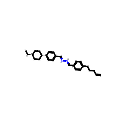 C=CCCCc1ccc(C=NN=Cc2ccc([C@H]3CC[C@H](CC)CC3)cc2)cc1